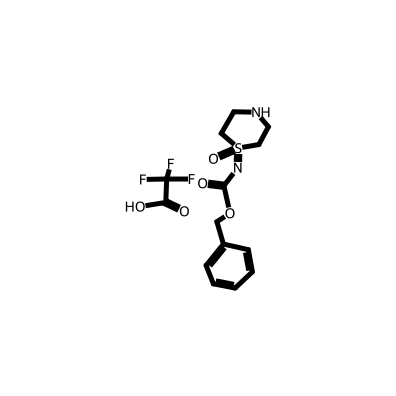 O=C(N=S1(=O)CCNCC1)OCc1ccccc1.O=C(O)C(F)(F)F